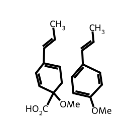 C/C=C/C1=CCC(OC)(C(=O)O)C=C1.CC=Cc1ccc(OC)cc1